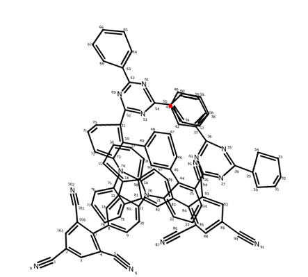 N#Cc1cc(C#N)c(-c2ccc3c(c2)c2ccccc2n3-c2cccc(-c3nc(-c4ccccc4)nc(-c4ccccc4)n3)c2-c2cccc(-c3c(-c4nc(-c5ccccc5)nc(-c5ccccc5)n4)cccc3-n3c4ccccc4c4cc(-c5c(C#N)cc(C#N)cc5C#N)ccc43)c2)c(C#N)c1